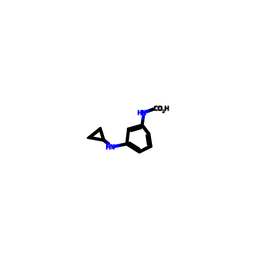 O=C(O)Nc1cccc(NC2CC2)c1